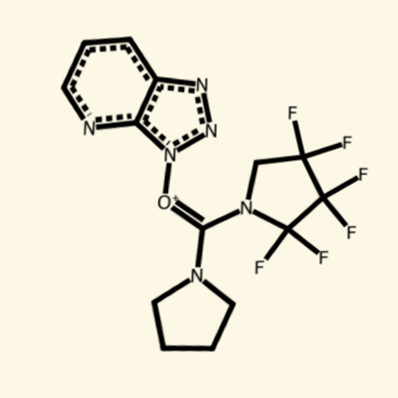 FC1(F)CN(C(=[O+]n2nnc3cccnc32)N2CCCC2)C(F)(F)C1(F)F